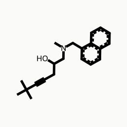 CN(Cc1cccc2ccccc12)CC(O)CC#CC(C)(C)C